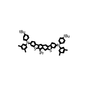 Cc1cc(C)cc(N(c2ccc(C(C)(C)C)cc2)c2ccc3c(c2)sc2cc4c(C(C)C)c5sc6cc(N(c7ccc(C(C)(C)C)cc7)c7cc(C)cc(C)c7)ccc6c5cc4cc23)c1